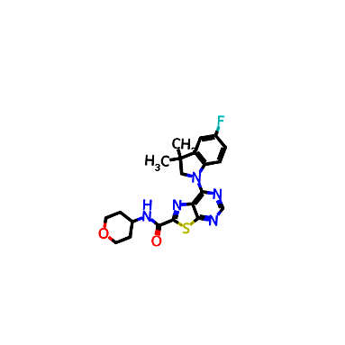 CC1(C)CN(c2ncnc3sc(C(=O)NC4CCOCC4)nc23)c2ccc(F)cc21